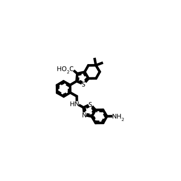 CC1(C)CCc2sc(-c3ccccc3CNc3nc4ccc(N)cc4s3)c(C(=O)O)c2C1